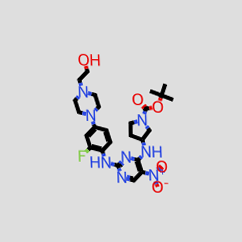 CC(C)(C)OC(=O)N1CCC(Nc2nc(Nc3ccc(N4CCN(CCO)CC4)cc3F)ncc2[N+](=O)[O-])C1